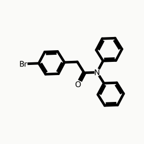 O=C(Cc1ccc(Br)cc1)N(c1ccccc1)c1ccccc1